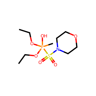 CCOP(C)(O)(OCC)S(=O)(=O)N1CCOCC1